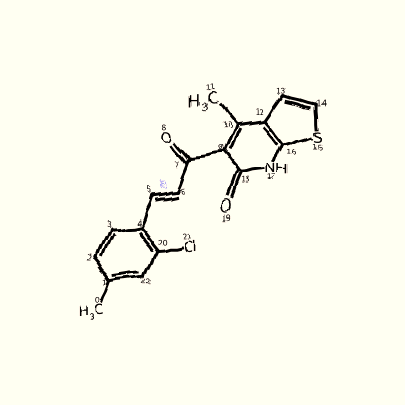 Cc1ccc(/C=C/C(=O)c2c(C)c3ccsc3[nH]c2=O)c(Cl)c1